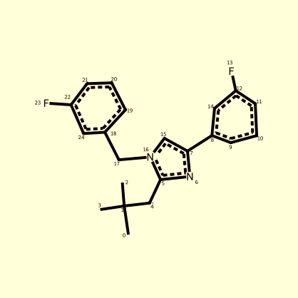 CC(C)(C)[CH]c1nc(-c2cccc(F)c2)cn1Cc1cccc(F)c1